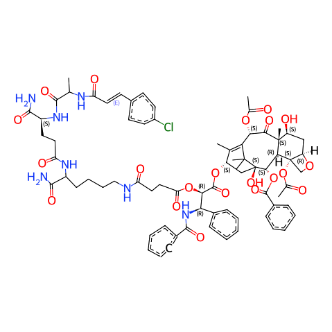 CC(=O)O[C@@H]1C(=O)[C@@]2(C)[C@H]([C@H](OC(=O)c3ccccc3)[C@]3(O)C[C@H](OC(=O)[C@H](OC(=O)CCC(=O)NCCCCC(NC(=O)CC[C@H](NC(=O)C(C)NC(=O)/C=C/c4ccc(Cl)cc4)C(N)=O)C(N)=O)[C@H](NC(=O)c4ccccc4)c4ccccc4)C(C)=C1C3(C)C)[C@]1(OC(C)=O)CO[C@@H]1C[C@@H]2O